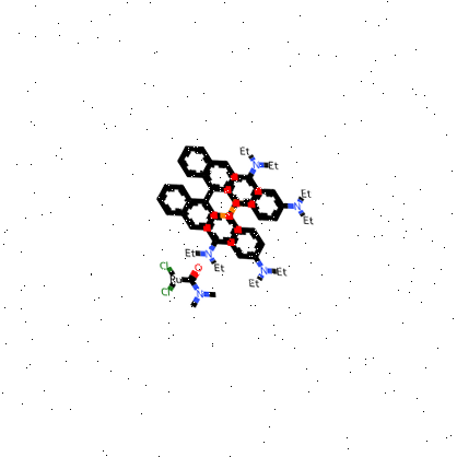 CCN(CC)c1ccc(P(c2ccc(N(CC)CC)cc2)c2ccc3ccccc3c2-c2c(P(c3ccc(N(CC)CC)cc3)c3ccc(N(CC)CC)cc3)ccc3ccccc23)cc1.CN(C)[C](=O)[Ru]([Cl])[Cl]